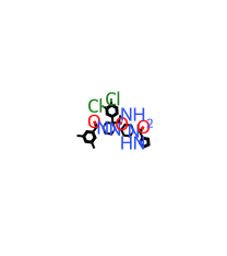 Cc1cc(C)cc(C(=O)N2CCN(C3CCN(C(=O)c4ccc[nH]4)CC3)C(C(=O)CN)(c3ccc(Cl)c(Cl)c3)C2)c1